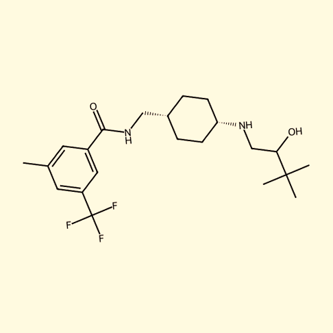 Cc1cc(C(=O)NC[C@H]2CC[C@@H](NCC(O)C(C)(C)C)CC2)cc(C(F)(F)F)c1